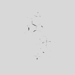 CN(c1nc(N)nc2c1ncn2[C@@H]1O[C@@H]2C(OP(=O)(O)OP(=O)(O)O)[C@]2(O)[C@@]1(C)F)C1CC1